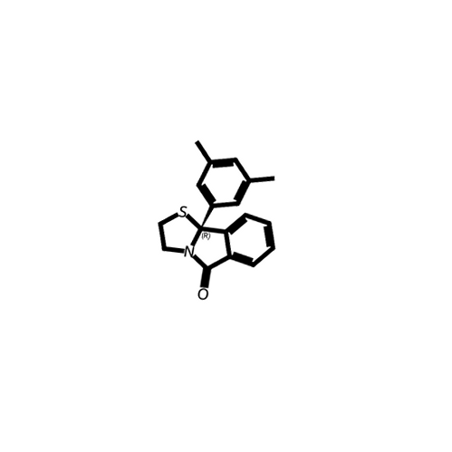 Cc1cc(C)cc([C@]23SCCN2C(=O)c2ccccc23)c1